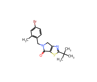 Cc1cc(Br)ccc1CN1Cc2nc(C(C)(C)C)sc2C1=O